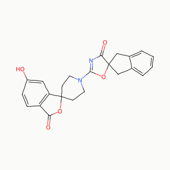 O=C1OC2(CCN(C3=NC(=O)C4(Cc5ccccc5C4)O3)CC2)c2cc(O)ccc21